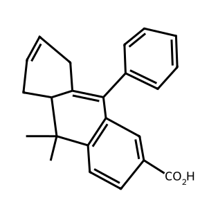 CC1(C)c2ccc(C(=O)O)cc2C(c2ccccc2)=C2CC=CCC21